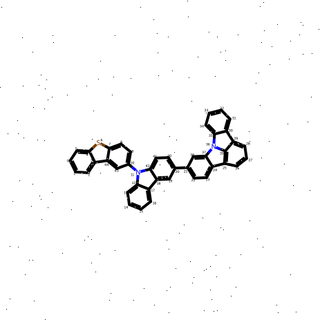 c1ccc2c(c1)sc1ccc(-n3c4ccccc4c4cc(-c5ccc6c7cccc8c9ccccc9n(c6c5)c87)ccc43)cc12